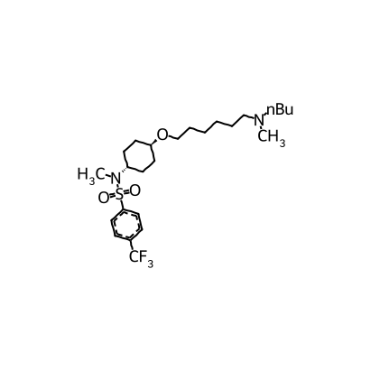 CCCCN(C)CCCCCCO[C@H]1CC[C@H](N(C)S(=O)(=O)c2ccc(C(F)(F)F)cc2)CC1